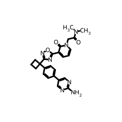 CN(C)C(=O)Cn1cccc(-c2nc(C3(c4ccc(-c5cnc(N)nc5)cc4)CCC3)no2)c1=O